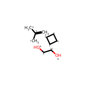 C1CCC1.C=C(C)C.OCCO